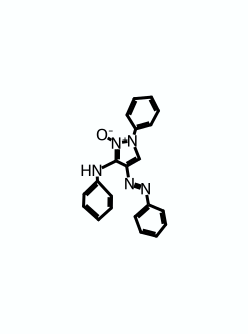 [O-][n+]1c(Nc2ccccc2)c(N=Nc2ccccc2)cn1-c1ccccc1